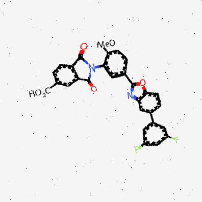 COc1ccc(-c2nc3cc(-c4cc(F)cc(F)c4)ccc3o2)cc1N1C(=O)c2ccc(C(=O)O)cc2C1=O